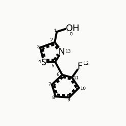 OCc1csc(-c2ccccc2F)n1